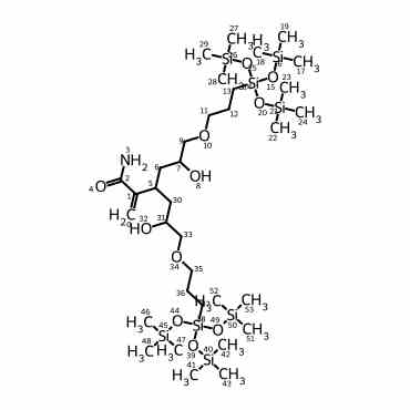 C=C(C(N)=O)C(CC(O)COCCC[Si](O[Si](C)(C)C)(O[Si](C)(C)C)O[Si](C)(C)C)CC(O)COCCC[Si](O[Si](C)(C)C)(O[Si](C)(C)C)O[Si](C)(C)C